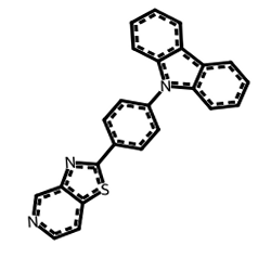 c1ccc2c(c1)c1ccccc1n2-c1ccc(-c2nc3cnccc3s2)cc1